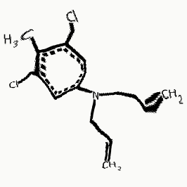 C=CCN(CC=C)c1cc(Cl)c(C)c(Cl)c1